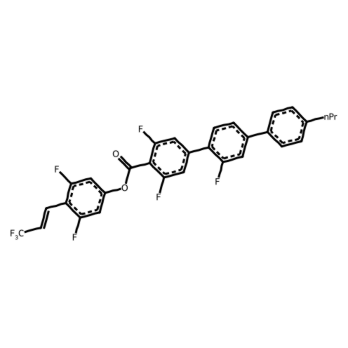 CCCc1ccc(-c2ccc(-c3cc(F)c(C(=O)Oc4cc(F)c(/C=C/C(F)(F)F)c(F)c4)c(F)c3)c(F)c2)cc1